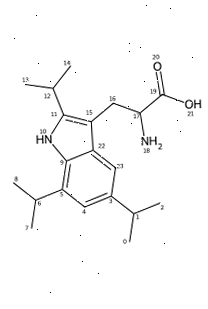 CC(C)c1cc(C(C)C)c2[nH]c(C(C)C)c(CC(N)C(=O)O)c2c1